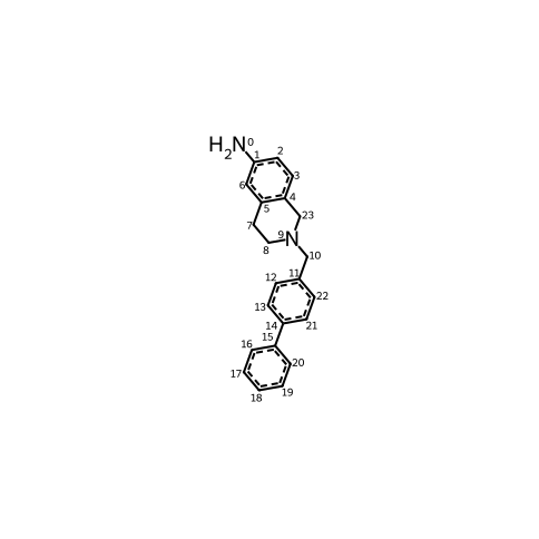 Nc1ccc2c(c1)CCN(Cc1ccc(-c3ccccc3)cc1)C2